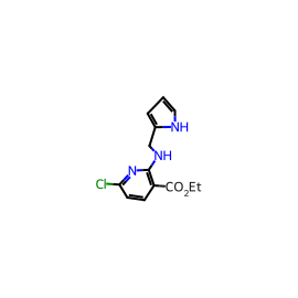 CCOC(=O)c1ccc(Cl)nc1NCc1ccc[nH]1